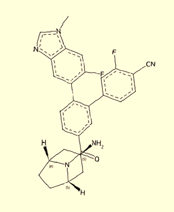 Cn1cnc2cc(-c3ccc(C(=O)N4[C@@H]5CC[C@H]4C[C@H](N)C5)cc3-c3ccc(C#N)c(F)c3)c(F)cc21